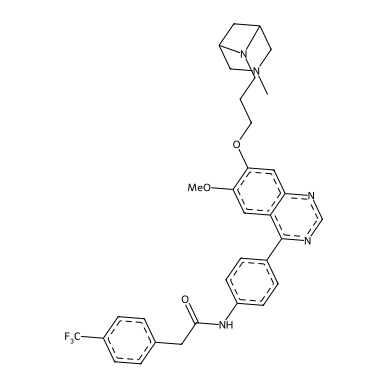 COc1cc2c(-c3ccc(NC(=O)Cc4ccc(C(F)(F)F)cc4)cc3)ncnc2cc1OCCCN1C2CC1CN(C)C2